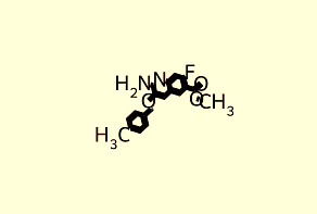 COC(=O)c1cc2cc(OCc3ccc(C)cc3)c(N)nc2cc1F